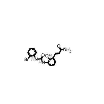 NC(=O)/C=C/c1cccc(NC(=O)Nc2ccccc2Br)c1O